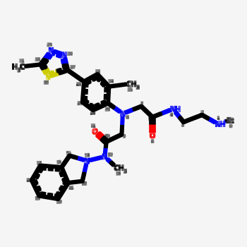 CCNCCNC(=O)CN(CC(=O)N(C)N1Cc2ccccc2C1)c1ccc(-c2nnc(C)s2)cc1C